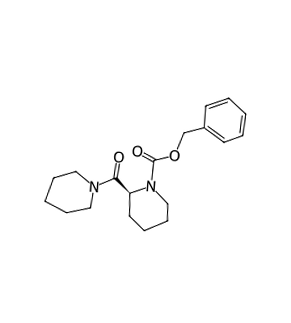 O=C([C@@H]1CCCCN1C(=O)OCc1ccccc1)N1CCCCC1